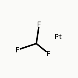 FC(F)F.[Pt]